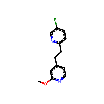 COc1cc(CCc2ccc(F)cn2)ccn1